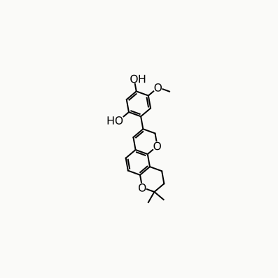 COc1cc(C2=Cc3ccc4c(c3OC2)CCC(C)(C)O4)c(O)cc1O